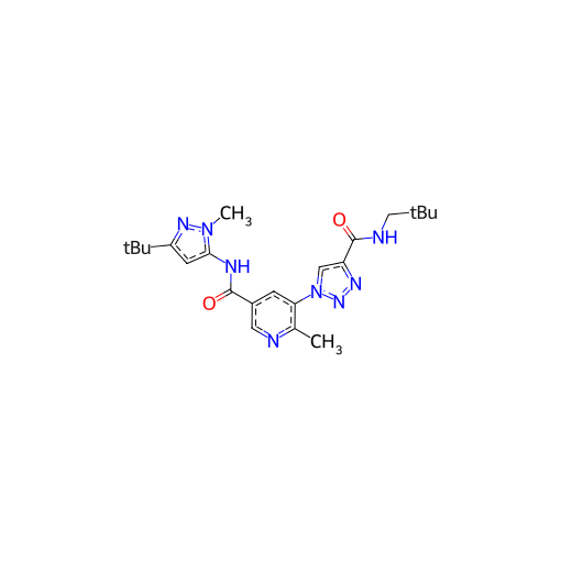 Cc1ncc(C(=O)Nc2cc(C(C)(C)C)nn2C)cc1-n1cc(C(=O)NCC(C)(C)C)nn1